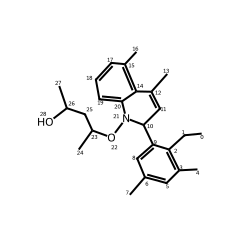 CCc1c(C)cc(C)cc1C1C=C(C)c2c(C)cccc2N1OC(C)CC(C)O